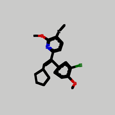 CCc1ccc(C(=CC2CCCC2)c2ccc(OC)c(Cl)c2)nc1OC